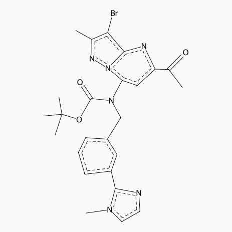 CC(=O)c1cc(N(Cc2cccc(-c3nccn3C)c2)C(=O)OC(C)(C)C)n2nc(C)c(Br)c2n1